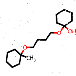 CC1(OCCCCOC2(O)CCCCC2)CCCCC1